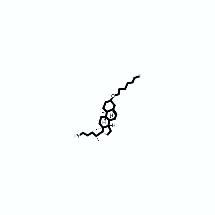 CC(C)CCC[C@@H](C)[C@H]1CC[C@H]2[C@@H]3CC=C4CC(OCCCCCCI)CC[C@]4(C)[C@H]3CC[C@]12C